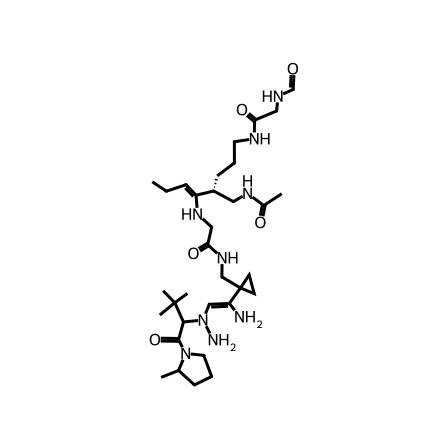 CC/C=C(\NCC(=O)NCC1(/C(N)=C/N(N)C(C(=O)N2CCCC2C)C(C)(C)C)CC1)[C@H](CCCNC(=O)CNC=O)CNC(C)=O